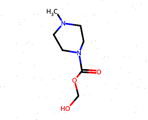 CN1CCN(C(=O)OCO)CC1